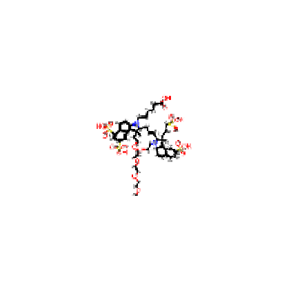 COCCOCCOCCOCCC1(C)/C(=C\C=C\C2=[N+](CCOC)c3ccc4ccc(S(=O)(=O)O)cc4c3C2(C)CCCS(=O)(=O)O)N(CCCCCC(=O)O)c2ccc3c(S(=O)(=O)O)cc(S(=O)(=O)O)cc3c21